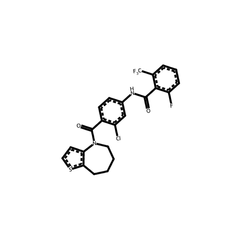 O=C(Nc1ccc(C(=O)N2CCCCc3sccc32)c(Cl)c1)c1c(F)cccc1C(F)(F)F